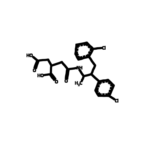 CC(NC(=O)CC(CC(=O)O)C(=O)O)C(Cc1ccccc1Cl)c1ccc(Cl)cc1